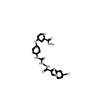 CNC(=O)c1cc(Oc2ccc(NC(=S)NNC(=O)c3cn4ccc(Cl)cc4n3)cc2)ccn1